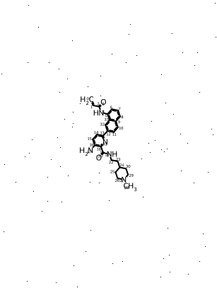 C=CC(=O)Nc1cccc2ccc(-c3ccc(N)c(C(=O)NCCC4CCN(C)CC4)n3)cc12